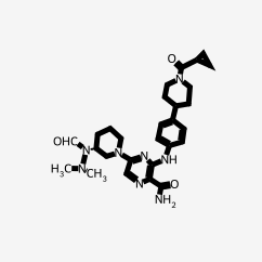 CN(C)N(C=O)[C@@H]1CCCN(c2cnc(C(N)=O)c(Nc3ccc(C4CCN(C(=O)C5CC5)CC4)cc3)n2)C1